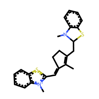 CC1=C(CC2Sc3ccccc3N2C)CC/C1=C\c1sc2ccccc2[n+]1C